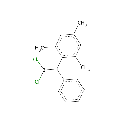 Cc1cc(C)c(C(B(Cl)Cl)c2ccccc2)c(C)c1